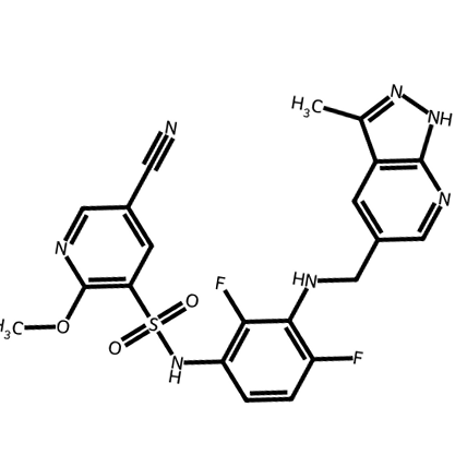 COc1ncc(C#N)cc1S(=O)(=O)Nc1ccc(F)c(NCc2cnc3[nH]nc(C)c3c2)c1F